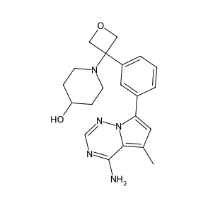 Cc1cc(-c2cccc(C3(N4CCC(O)CC4)COC3)c2)n2ncnc(N)c12